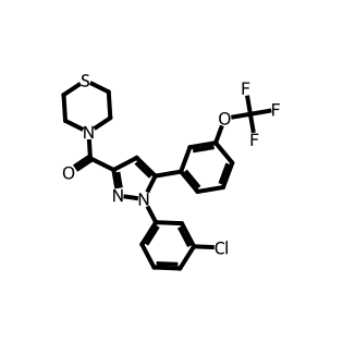 O=C(c1cc(-c2cccc(OC(F)(F)F)c2)n(-c2cccc(Cl)c2)n1)N1CCSCC1